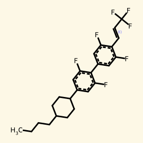 CCCCC1CCC(c2cc(F)c(-c3cc(F)c(/C=C/C(F)(F)F)c(F)c3)c(F)c2)CC1